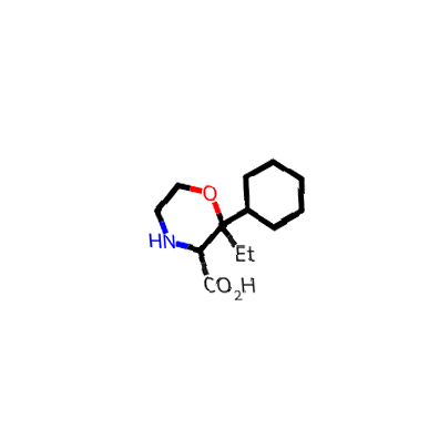 CCC1(C2CCCCC2)OCCNC1C(=O)O